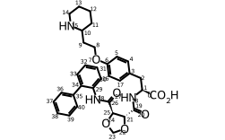 O=C(O)[C@H](Cc1ccc(OCCC2CCCCN2)cc1)NC(=O)[C@@H]1OCO[C@H]1C(=O)Nc1ccccc1-c1ccccc1